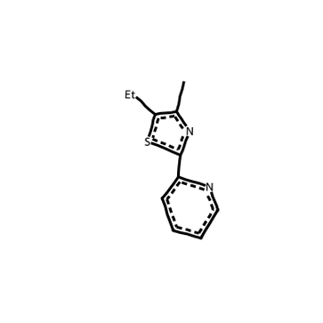 CCc1sc(-c2ccccn2)nc1C